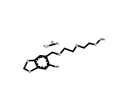 CC(C)=O.CCCCOCCOCCOCc1cc2c(cc1CCC)OCO2.[Zr]